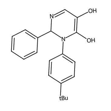 CC(C)(C)c1ccc(N2C(O)=C(O)C=NC2c2ccccc2)cc1